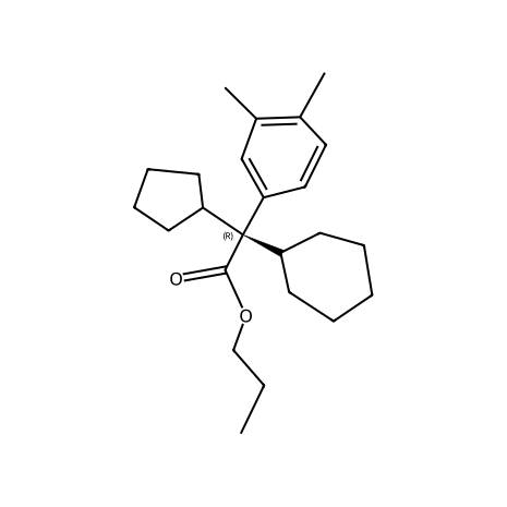 CCCOC(=O)[C@](c1ccc(C)c(C)c1)(C1CCCCC1)C1CCCC1